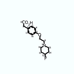 O=C(O)Cc1ccc(OCCN2CCC(F)CC2)cc1